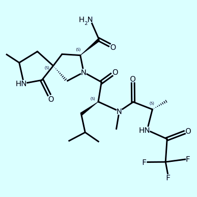 CC(C)C[C@@H](C(=O)N1C[C@]2(CC(C)NC2=O)C[C@H]1C(N)=O)N(C)C(=O)[C@H](C)NC(=O)C(F)(F)F